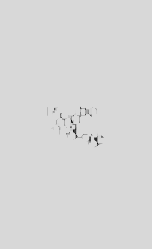 CS(=O)(=O)Nc1ccc(CS(=O)(=O)NCC(=O)OC(Cc2c(Cl)c[n+]([O-])cc2Cl)c2ccc(OC(F)F)c(OCC3CC3)c2)cc1